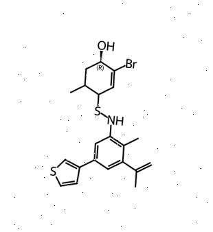 C=C(C)c1cc(-c2ccsc2)cc(NSC2C=C(Br)[C@H](O)CC2C)c1C